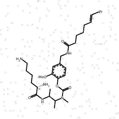 COc1cc(CNC(=O)CCCC/C=C/C(C)C)ccc1OC(=O)N(C)C(C)C(C)NC(=O)[C@@H](N)CCCCN